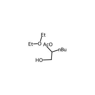 CCCCC(CO)OC(C)=O.CCOCC